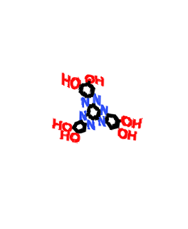 Oc1cc2nc3c4nc5cc(O)c(O)cc5nc4c4nc5cc(O)c(O)cc5nc4c3nc2cc1O